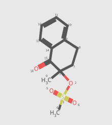 CC1(OS(C)(=O)=O)CCc2ccccc2C1=O